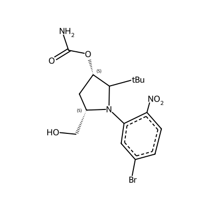 CC(C)(C)C1[C@@H](OC(N)=O)C[C@@H](CO)N1c1cc(Br)ccc1[N+](=O)[O-]